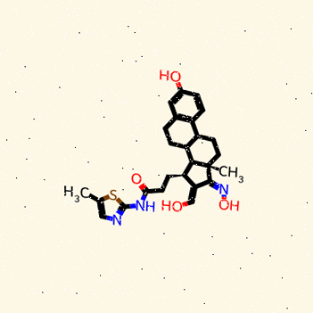 Cc1cnc(NC(=O)CC[C@@H]2C(=C\O)/C(=N\O)[C@@]3(C)CCC4c5ccc(O)cc5CCC4C23)s1